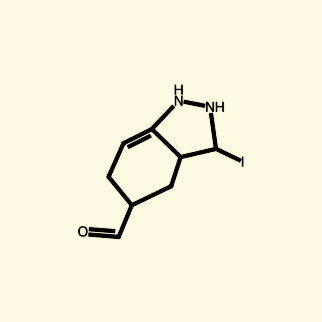 O=CC1CC=C2NNC(I)C2C1